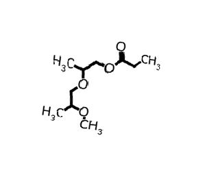 CCC(=O)OCC(C)OCC(C)OC